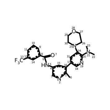 Cc1ncc(NC(=O)c2cccc(C(F)(F)F)c2)cc1-c1cnc(N(C)C)c(N2CCOCC2)c1